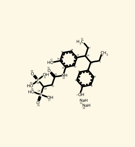 CCC(c1ccc(O)cc1)C(CC)c1ccc(O)c(NC(=O)CC(P(=O)(O)O)P(=O)(O)O)c1.[NaH].[NaH]